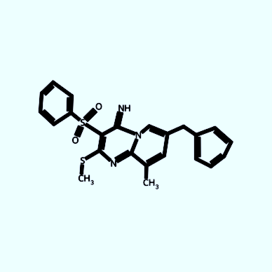 CSc1nc2c(C)cc(Cc3ccccc3)cn2c(=N)c1S(=O)(=O)c1ccccc1